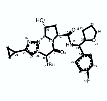 CC(C)(C)[C@H](C(=O)N1C[C@H](O)C[C@H]1C(=O)NC(c1ccc(F)cc1)C1CCCO1)n1cc(C2CC2)nn1